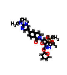 CN(C)c1ncc(-c2ccc3c(=O)n(CC[C@](C)(C(=O)NOC4CCCCO4)S(C)(=O)=O)ccc3c2)cn1